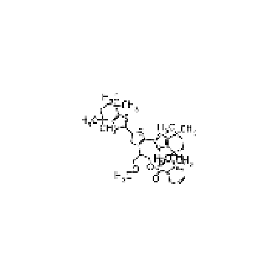 COCC(COS(=O)(=O)c1ccccc1C)c1cc(-c2cc3c(s2)C(C)(C)CCC3(C)C)sc1-c1cc2c(s1)C(C)(C)CCC2(C)C